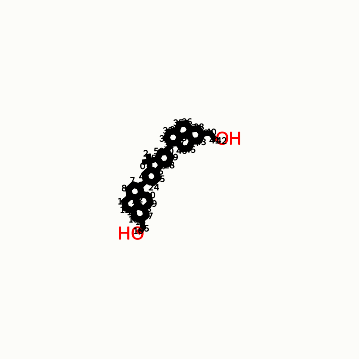 CC1(C)c2cc(-c3ccc4ccc5cc(CO)cc6ccc3c4c56)ccc2-c2ccc(-c3ccc4ccc5cc(CCO)cc6ccc3c4c56)cc21